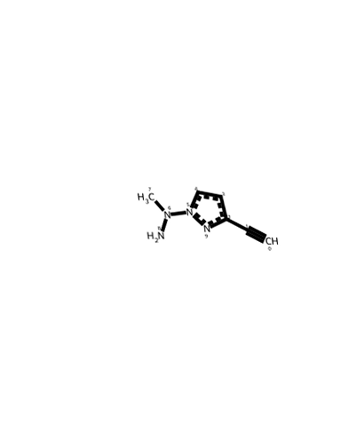 C#Cc1ccn(N(C)N)n1